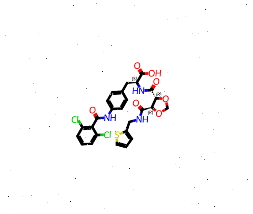 O=C(Nc1ccc(C[C@H](NC(=O)[C@@H]2OCO[C@H]2C(=O)NCc2cccs2)C(=O)O)cc1)c1c(Cl)cccc1Cl